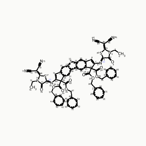 CCN1C(=O)/C(=N/C2=Cc3cc4sc5cc6c(cc5c4cc3C2(C(=O)OCc2ccccc2)C(=O)OCc2ccccc2)C(C(=O)OCc2ccccc2)(C(=O)OCc2ccccc2)C(/N=C2\SC(=C(C#N)C#N)N(CC)C2=O)=C6)SC1=C(C#N)C#N